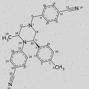 Cc1ccc([C@@H]2CN(Cc3ccc(C#N)cc3)CC(C)N2c2ccc(C#N)cc2)cc1